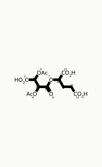 CC(=O)OC(C(=O)O)C(OC(C)=O)C(=O)OC(CCC(=O)O)C(=O)O